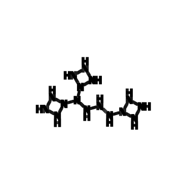 N1NN(NNNN(N2NNN2)N2NNN2)N1